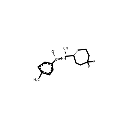 Cc1ccc([S@+]([O-])N[C@H](C#N)[C@@H]2CCCC(F)(F)CC2)cc1